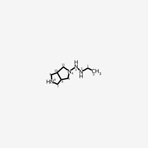 CCNNN1CC2CNCC2C1